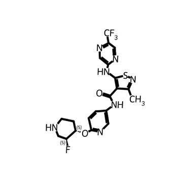 Cc1nsc(Nc2cnc(C(F)(F)F)cn2)c1C(=O)Nc1ccc(O[C@H]2CCNC[C@@H]2F)nc1